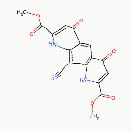 COC(=O)c1cc(=O)c2cc3c(=O)cc(C(=O)OC)[nH]c3c(C#N)c2[nH]1